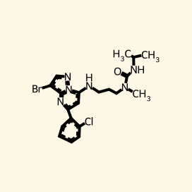 CC(C)NC(=O)N(C)CCCNc1cc(-c2ccccc2Cl)nc2c(Br)cnn12